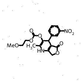 COCCOC(=O)OC1=C(C)NC2=C(C(=O)OC2)C1c1cccc([N+](=O)[O-])c1